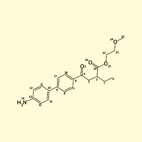 CCC(CC(=O)c1ccc(-c2ccc(N)cc2)cc1)C(=O)OCCOC